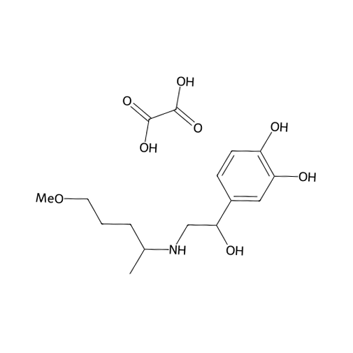 COCCCC(C)NCC(O)c1ccc(O)c(O)c1.O=C(O)C(=O)O